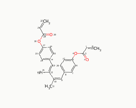 C=CC(=O)Oc1ccc(C=C(C)C(=Cc2ccc(OC(=O)C=C)cc2)CCC)cc1